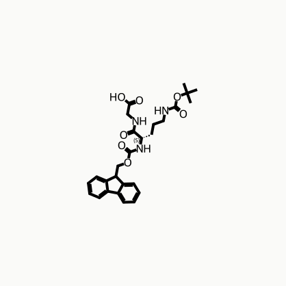 CC(C)(C)OC(=O)NCCC[C@H](NC(=O)OCC1c2ccccc2-c2ccccc21)C(=O)NCC(=O)O